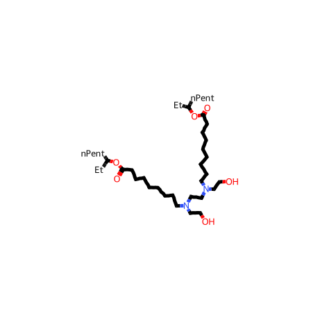 CCCCCC(CC)OC(=O)CCCCCCCCN(CCO)CCN(CCO)CCCCCCCCC(=O)OC(CC)CCCCC